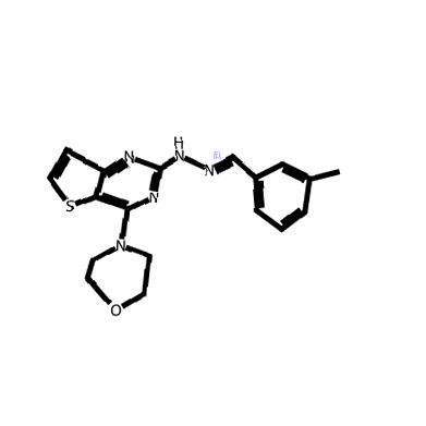 Cc1cccc(/C=N/Nc2nc(N3CCOCC3)c3sccc3n2)c1